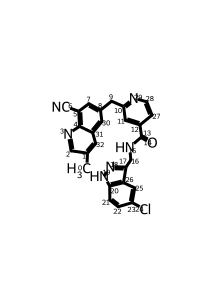 Cc1cnc2c(C#N)cc(Cc3cc(C(=O)NCc4n[nH]c5ccc(Cl)cc45)ccn3)cc2c1